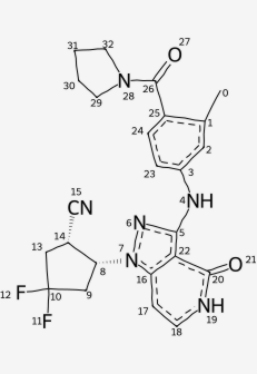 Cc1cc(Nc2nn([C@@H]3CC(F)(F)C[C@@H]3C#N)c3cc[nH]c(=O)c23)ccc1C(=O)N1CCCC1